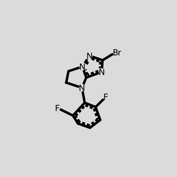 Fc1cccc(F)c1N1CCn2nc(Br)nc21